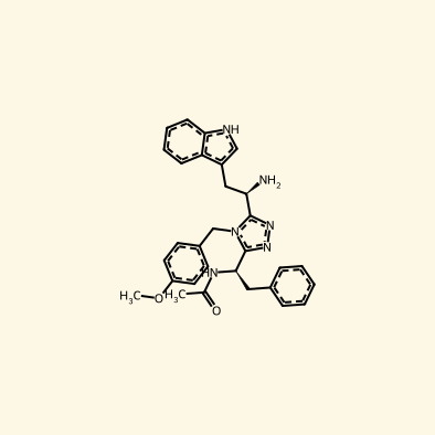 COc1ccc(Cn2c([C@H](N)Cc3c[nH]c4ccccc34)nnc2[C@@H](Cc2ccccc2)NC(C)=O)cc1